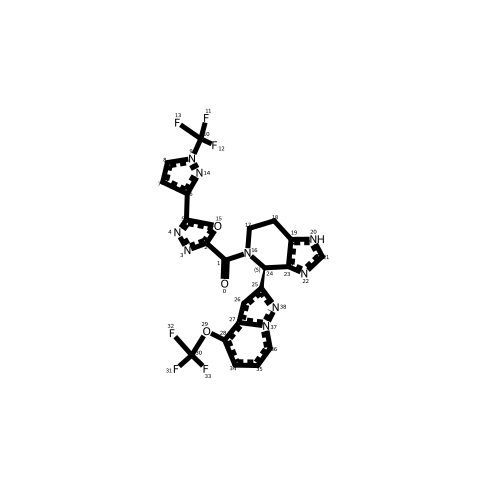 O=C(c1nnc(-c2ccn(C(F)(F)F)n2)o1)N1CCc2[nH]cnc2[C@H]1c1cc2c(OC(F)(F)F)cccn2n1